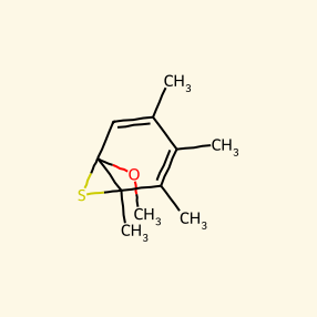 COC12C=C(C)C(C)=C(C)C1(C)S2